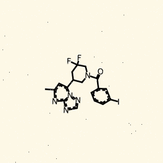 Cc1cc(C2CN(C(=O)c3cccc(I)c3)CC(F)(F)C2)n2ncnc2n1